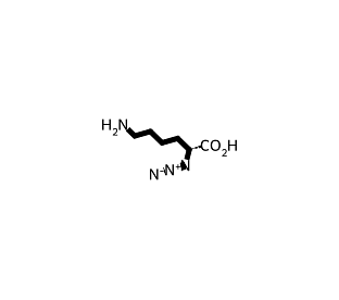 [N-]=[N+]=N[C@H](CCCCN)C(=O)O